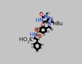 CCCCc1nc2c(c(=O)[nH]c(=O)n2C)n1C(C)c1ccc(S(=O)(=O)N[C@H](Cc2ccccc2)C(=O)O)cc1